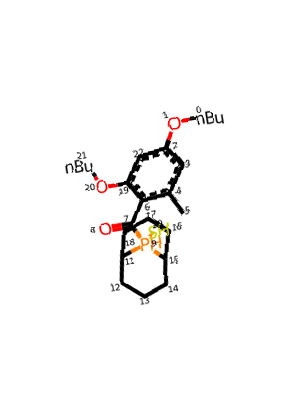 CCCCOc1cc(C)c(C(=O)[PH]2(S)C3CCCC2CCC3)c(OCCCC)c1